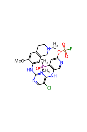 COc1cc2c(cc1Nc1ncc(Cl)c(Nc3cnc(OS(=O)(=O)F)cc3P(C)(C)=O)n1)CN(C)CC2